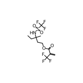 C=C(C(=O)OCCC(C)(CC)NS(=O)(=O)C(F)(F)F)C(F)(F)F